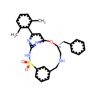 Cc1cccc(C)c1-c1cc2nc(n1)NS(=O)(=O)c1cccc(c1)CNC[C@@H](Cc1ccccc1)O2